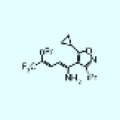 CCC/C(=C\C=C(/N)c1c(C(C)C)noc1C1CC1)C(F)(F)F